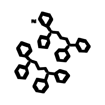 [Pd].c1ccc(P(CCCP(c2ccccc2)c2ccccc2)c2ccccc2)cc1.c1ccc(P(CCCP(c2ccccc2)c2ccccc2)c2ccccc2)cc1